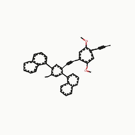 CC#Cc1cc(OC)c(C#Cc2cc(-c3cccc4ccccc34)c(C)cc2-c2cccc3ccccc23)cc1OC